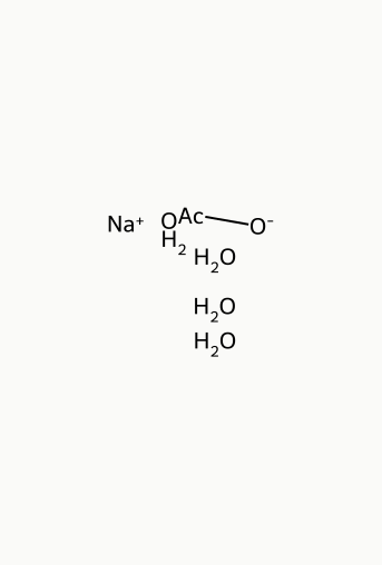 CC(=O)[O-].O.O.O.O.[Na+]